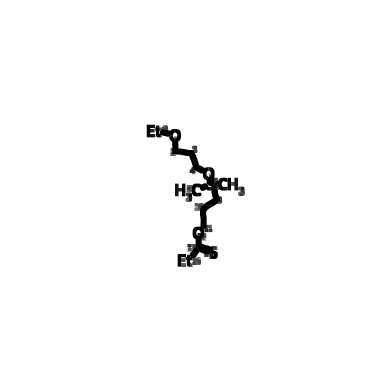 CCOCCCO[Si](C)(C)CCCOC(=S)CC